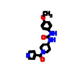 COc1ccc(NC(=O)NC2CCN(C(=O)c3ccncc3)CC2)cc1